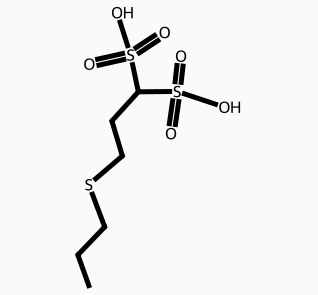 CCCSCCC(S(=O)(=O)O)S(=O)(=O)O